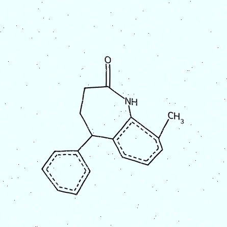 Cc1cccc2c1NC(=O)CCC2c1ccccc1